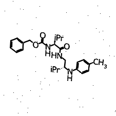 Cc1ccc(N[C@@H](CNC(=O)[C@@H](NC(=O)OCc2ccccc2)C(C)C)C(C)C)cc1